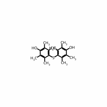 Cc1c(C)c(Sc2c(C)c(C)c(O)c(C)c2C)c(C)c(C)c1O